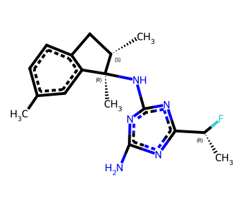 Cc1ccc2c(c1)[C@](C)(Nc1nc(N)nc([C@@H](C)F)n1)[C@@H](C)C2